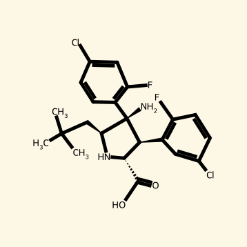 CC(C)(C)C[C@@H]1N[C@@H](C(=O)O)[C@H](c2cc(Cl)ccc2F)[C@@]1(N)c1ccc(Cl)cc1F